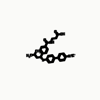 [C-]#[N+]c1ccc(-c2ccc(SC(CC(C)C)c3ccc(C(=O)NCCC(=O)O)cc3)cc2)cc1